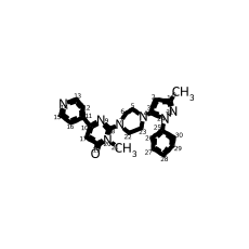 Cc1cc(N2CCN(c3nc(-c4ccncc4)cc(=O)n3C)CC2)n(-c2ccccc2)n1